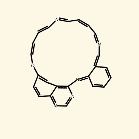 C1=C\C=N\C=C\C=C/Oc2ccc3ncnc(c3c2)/N=c2\cccc\c2=C\N=C/1